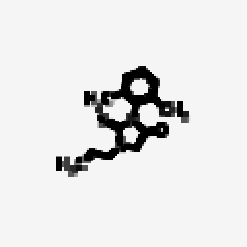 C=CCN1CC(=O)N(c2c(C)cccc2C)C1=S